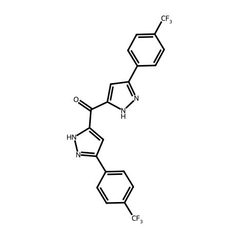 O=C(c1cc(-c2ccc(C(F)(F)F)cc2)n[nH]1)c1cc(-c2ccc(C(F)(F)F)cc2)n[nH]1